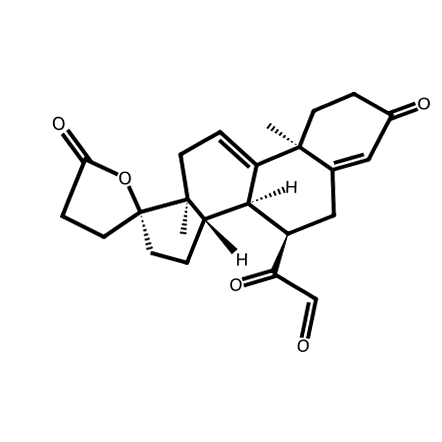 C[C@]12CCC(=O)C=C1C[C@@H](C(=O)C=O)[C@@H]1C2=CC[C@@]2(C)[C@H]1CC[C@@]21CCC(=O)O1